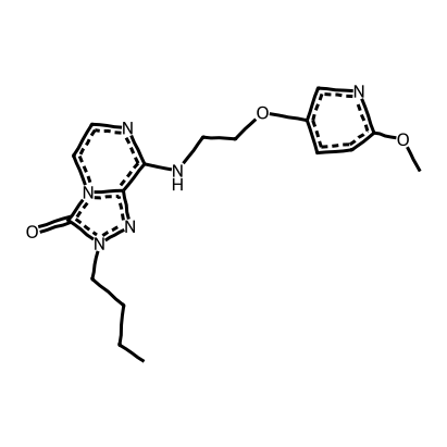 CCCCn1nc2c(NCCOc3ccc(OC)nc3)nccn2c1=O